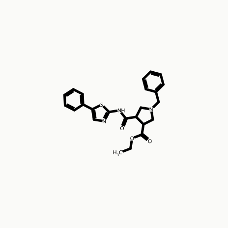 CCOC(=O)C1CN(Cc2ccccc2)CC1C(=O)Nc1ncc(-c2ccccc2)s1